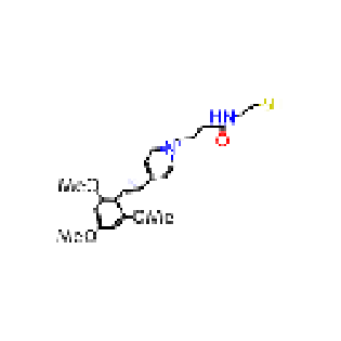 COc1cc(OC)c(/C=C/c2cc[n+](CCCC(=O)NCCS)cc2)c(OC)c1